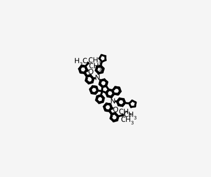 CC(C)(C)c1cccc2c1oc1c(N(c3ccc(C4CCCC4)cc3)c3ccc4c(c3)C(c3ccccc3)(c3ccccc3)c3cc(N(c5ccc(C6CCCC6)cc5)c5cccc6c5oc5c(C(C)(C)C)cccc56)c5ccccc5c3-4)cccc12